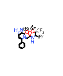 CC(C)C(NC(=O)Cn1c(-c2ccccc2)ccc(N)c1=O)C(O[Si](C)(C)C(C)(C)C)C(F)(F)F